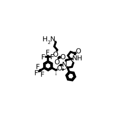 C[C@@H](OC[C@@]1(c2ccccc2)CC[C@]2(CCC(=O)N2)CN1COC(=O)OCCCN)c1cc(C(F)(F)F)cc(C(F)(F)F)c1